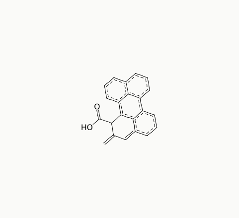 C=C1C=c2cccc3c2c(c2cccc4cccc3c42)C1C(=O)O